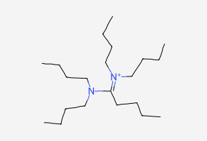 CCCCC(N(CCCC)CCCC)=[N+](CCCC)CCCC